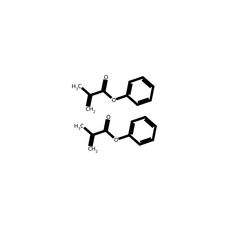 C=C(C)C(=O)Oc1ccccc1.C=C(C)C(=O)Oc1ccccc1